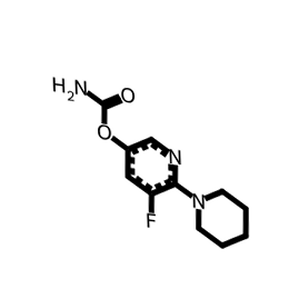 NC(=O)Oc1cnc(N2CCCCC2)c(F)c1